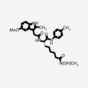 COc1ccc2[nH]c(C)c(CC(=O)N[C@@H](CCCCCC(=O)N(C)O)C(=O)Nc3ccc(C)cc3)c2c1